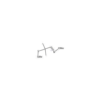 CO/N=C/C(C)(C)SSC